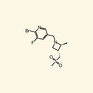 C[C@H]1[C@H](CS(C)(=O)=O)CN1Cc1cnc(Br)c(F)c1